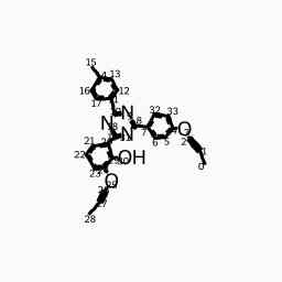 CC#COc1ccc(-c2nc(-c3ccc(C)cc3)nc(-c3cccc(OC#CC)c3O)n2)cc1